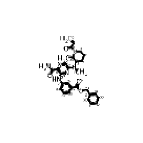 C=CC(=O)N1CCC[C@@H](N(C)c2cnc(C(N)=O)c(Nc3cccc(C(=O)OCc4ccccc4)c3)n2)[C@H]1C